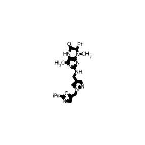 CCC1C(=O)Nc2c(C)nc(NCc3cnn(Cc4cnc(C(C)C)o4)c3)nc2N1C